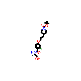 C[C@@H](CO)NC(=O)c1ccc(OCCCC2CCN(C(=O)OC(C)(C)C)CC2)cc1F